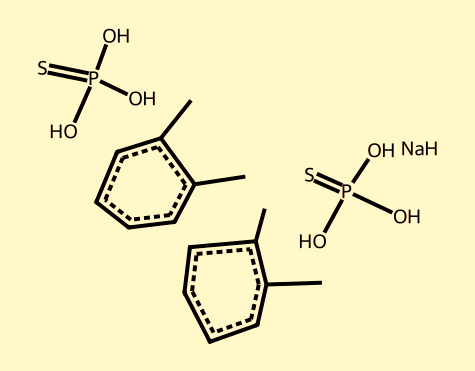 Cc1ccccc1C.Cc1ccccc1C.OP(O)(O)=S.OP(O)(O)=S.[NaH]